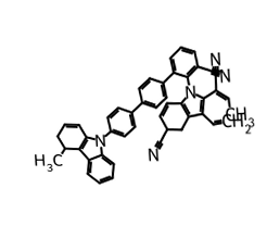 C=Cc1c2c(n(-c3c(C#N)cccc3-c3ccc(-c4ccc(-n5c6c(c7ccccc75)C(C)CC=C6)cc4)cc3)c1/C(C#N)=C\C)C=CC(C#N)C2